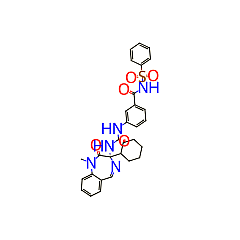 CN1C(=O)[C@@](NC(=O)Nc2cccc(C(=O)NS(=O)(=O)c3ccccc3)c2)(C2CCCCC2)N=Cc2ccccc21